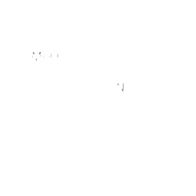 COc1ccc(-c2cc(-c3ccc4ccccc4c3)nc(-c3ccc4ccccc4c3)c2)cc1